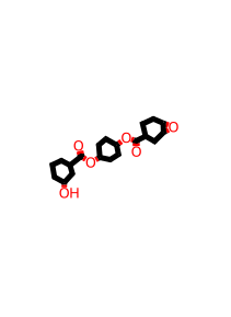 O=C(OC1CCC(OC(=O)C2CCC3OC3C2)CC1)C1CCCC(O)C1